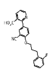 N#Cc1cc(-c2ncccc2C(=O)O)ccc1OCCCc1ccccc1F